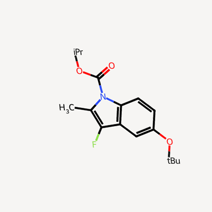 Cc1c(F)c2cc(OC(C)(C)C)ccc2n1C(=O)OC(C)C